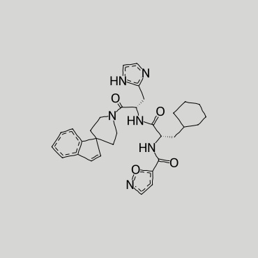 O=C(N[C@@H](CC1CCCCC1)C(=O)N[C@@H](Cc1ncc[nH]1)C(=O)N1CCC2(C=Cc3ccccc32)CC1)c1ccno1